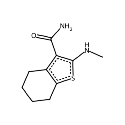 CNc1sc2c(c1C(N)=O)CCCC2